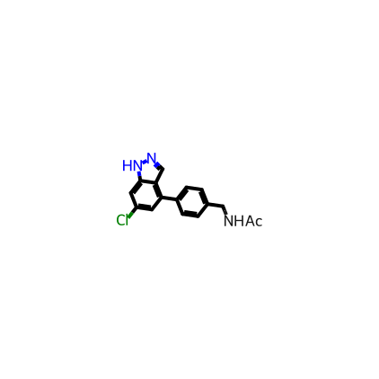 CC(=O)NCc1ccc(-c2cc(Cl)cc3[nH]ncc23)cc1